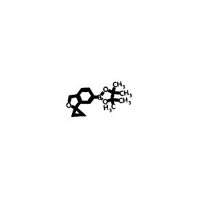 CC1(C)OB(c2ccc3c(c2)C2(CC2)OC3)OC1(C)C